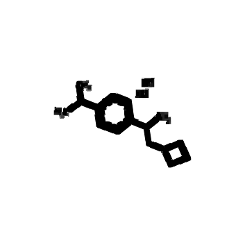 CC(C)c1ccc(C(N)CN2CCC2)cc1.Cl.Cl